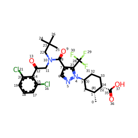 C[C@@H]1C[C@@H](n2ncc(C(=O)N(CC(=O)c3c(Cl)cccc3Cl)CC(C)(C)C)c2C(F)(F)F)CC[C@@H]1C(=O)O